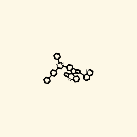 c1ccc(-c2ccc(-c3cc(-c4ccc5c(c4)C4(c6ccccc6Oc6ccccc64)c4cc(-c6cccc7cccnc67)ccc4-5)nc(-c4ccccc4)n3)cc2)cc1